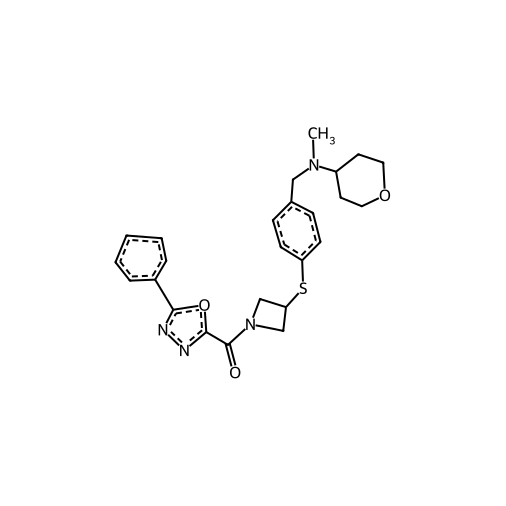 CN(Cc1ccc(SC2CN(C(=O)c3nnc(-c4ccccc4)o3)C2)cc1)C1CCOCC1